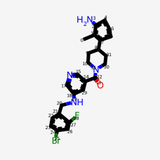 Cc1c(N)cccc1C1CCN(C(=O)c2cncc(NCc3ccc(Br)cc3F)c2)CC1